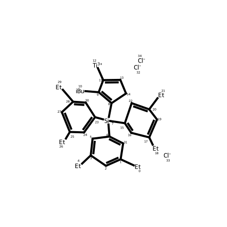 CCc1cc(CC)cc([Si](C2=C(C(C)CC)[C]([Ti+3])=CC2)(c2cc(CC)cc(CC)c2)c2cc(CC)cc(CC)c2)c1.[Cl-].[Cl-].[Cl-]